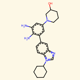 Nc1cc(N2CCCC(O)C2)cc(-c2ccc3c(c2)ncn3C2CCCCC2)c1N